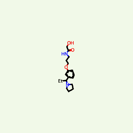 CCC(c1cccc(OCCCNC(=O)CO)c1)N1CCCC1